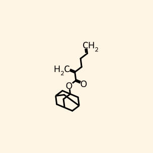 C=CCCC(=C)C(=O)OC12CC3CC(CC(C3)C1)C2